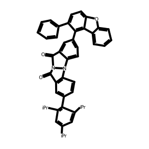 CC(C)c1cc(C(C)C)c(-c2ccc3c(c2)c(=O)n2c(=O)c4cc(-c5c(-c6ccccc6)ccc6oc7ccccc7c56)ccc4n32)c(C(C)C)c1